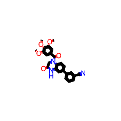 COc1cc(C(=O)N2CC(=O)Nc3cc(-c4cccc(C#N)c4)ccc32)cc(OC)c1OC